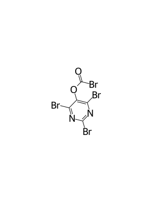 O=C(Br)Oc1c(Br)nc(Br)nc1Br